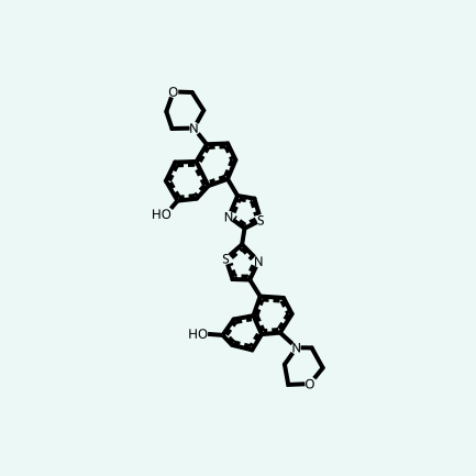 Oc1ccc2c(N3CCOCC3)ccc(-c3csc(-c4nc(-c5ccc(N6CCOCC6)c6ccc(O)cc56)cs4)n3)c2c1